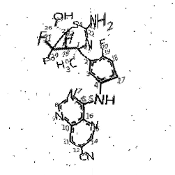 C[C@@]1(c2cc(Nc3ncnc4cc(C#N)cnc34)ccc2F)N=C(N)S[C@@]2(CO)[C@H]1C2(F)F